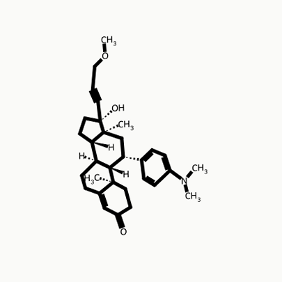 COCC#C[C@]1(O)CC[C@H]2[C@@H]3CCC4=CC(=O)CC[C@]4(C)[C@H]3[C@@H](c3ccc(N(C)C)cc3)C[C@@]21C